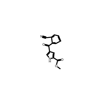 COC(=O)c1cc(C(=O)c2ccccc2C#N)c[nH]1